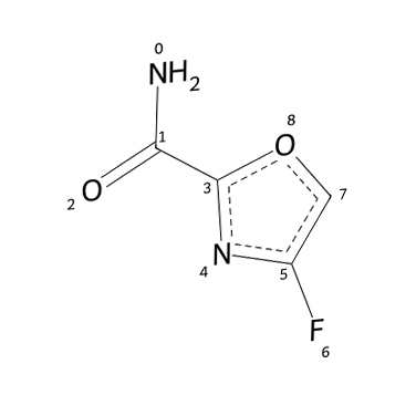 NC(=O)c1nc(F)co1